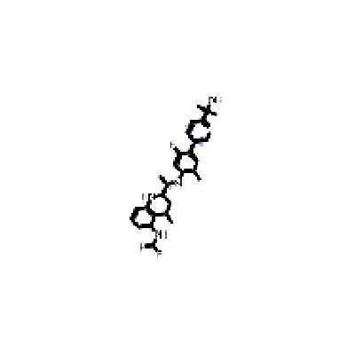 C=C(/C=C\C(=C/C)c1cc(C)c(/N=C(\C)C2CC(C)c3c(cccc3PC(F)F)N2)cc1F)C(C)(C)O